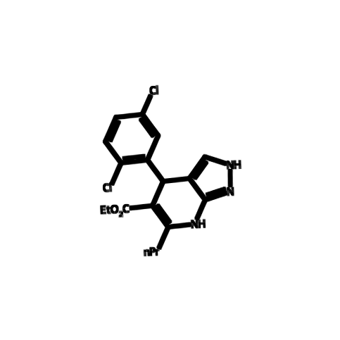 CCCC1=C(C(=O)OCC)C(c2cc(Cl)ccc2Cl)c2c[nH]nc2N1